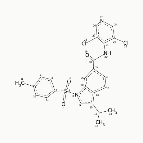 Cc1ccc(S(=O)(=O)n2cc(C(C)C)c3ccc(C(=O)Nc4c(Cl)cncc4Cl)cc32)cc1